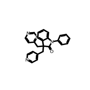 O=C1N(c2ccccc2)c2ccccc2C1(Cc1ccncc1)Cc1ccncn1